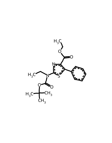 CCOC(=O)c1nc(N(CC)C(=O)OC(C)(C)C)sc1-c1ccccc1